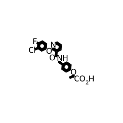 CC(Oc1ccc(CNC(=O)c2cccnc2Oc2ccc(F)c(Cl)c2)cc1)C(=O)O